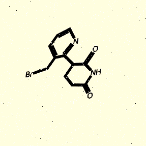 O=C1CCC(c2ncccc2CBr)C(=O)N1